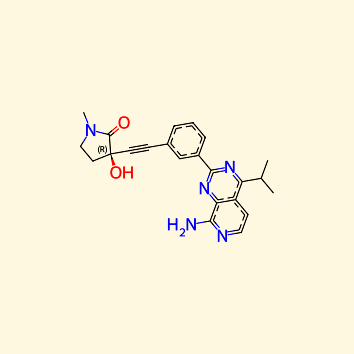 CC(C)c1nc(-c2cccc(C#C[C@]3(O)CCN(C)C3=O)c2)nc2c(N)nccc12